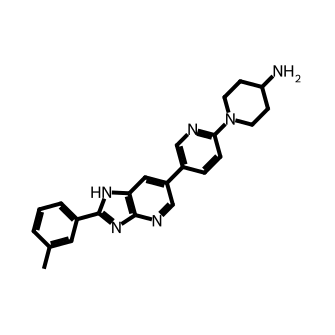 Cc1cccc(-c2nc3ncc(-c4ccc(N5CCC(N)CC5)nc4)cc3[nH]2)c1